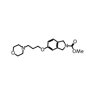 COC(=O)N1Cc2ccc(OCCCN3CCOCC3)cc2C1